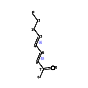 CCC/C=C/C=C/C(C)=O